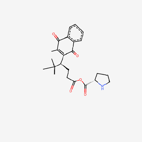 CC1=C([C@@H](CCC(=O)OC(=O)[C@@H]2CCCN2)C(C)(C)C)C(=O)c2ccccc2C1=O